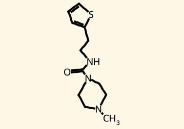 CN1CCN(C(=O)NCCc2cccs2)CC1